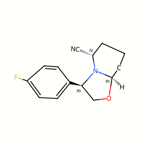 N#C[C@@H]1CCC[C@H]2OC[C@@H](c3ccc(F)cc3)N12